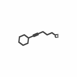 ClCCCC#CC1CCCCC1